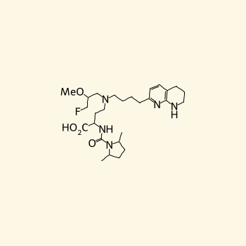 COC(CF)CN(CCCCc1ccc2c(n1)NCCC2)CCC(NC(=O)N1C(C)CCC1C)C(=O)O